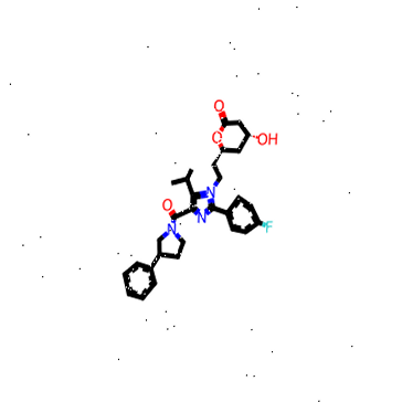 CC(C)c1c(C(=O)N2CCC(c3ccccc3)C2)nc(-c2ccc(F)cc2)n1CC[C@@H]1C[C@@H](O)CC(=O)O1